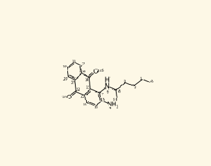 CCCCC(I)Nc1c(N)ccc2c1C(=O)c1ccccc1C2=O